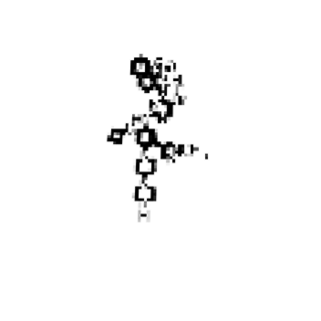 Cn1cc(-c2cc(Nc3ncc(Br)c(Nc4ccc5ccccc5c4P(C)(C)=O)n3)c(OC3CCC3)cc2N2CCC(N3CCNCC3)CC2)cn1